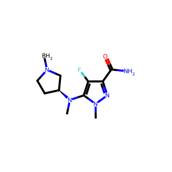 BN1CC[C@H](N(C)c2c(F)c(C(N)=O)nn2C)C1